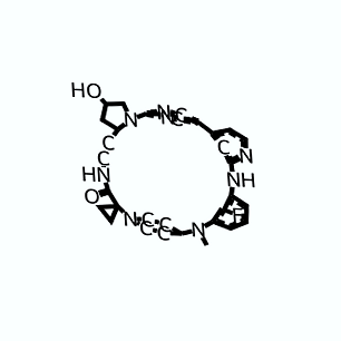 CN1c2cccc(c2F)Nc2cc(ccn2)-c2cnc(nc2)N2CC(O)CC2CCNC(=O)C2(CC2)N2CCC1CC2